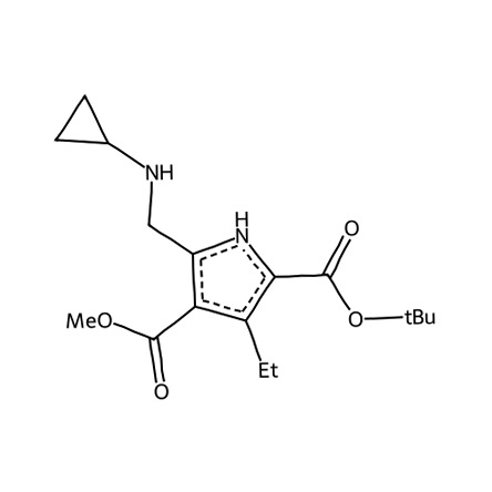 CCc1c(C(=O)OC(C)(C)C)[nH]c(CNC2CC2)c1C(=O)OC